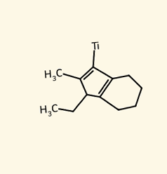 CCC1C(C)=[C]([Ti])C2=C1CCCC2